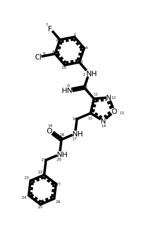 N=C(Nc1ccc(F)c(Cl)c1)c1nonc1CNC(=O)NCc1ccccc1